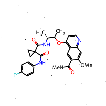 CNC(=O)c1cc2c(OC(C)[C@@H](C)NC(=O)C3(C(=O)Nc4ccc(F)cc4)CC3)ccnc2cc1OC